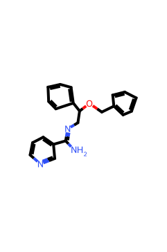 NC(=NCC(OCc1ccccc1)c1ccccc1)c1cccnc1